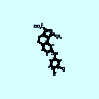 CCOC(=O)c1nn(C)c2c1CCc1cnc(Nc3ccc(Br)c(Cl)c3)nc1-2